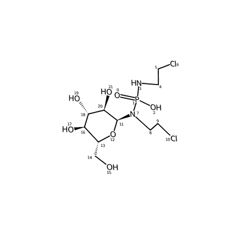 O=P(O)(NCCCl)N(CCCl)[C@H]1O[C@H](CO)[C@@H](O)[C@H](O)[C@H]1O